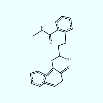 CNC(=O)c1ccccc1CCC(O)CC1=c2ccccc2=CCC1=S